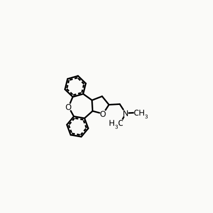 CN(C)CC1CC2c3ccccc3Oc3ccccc3C2O1